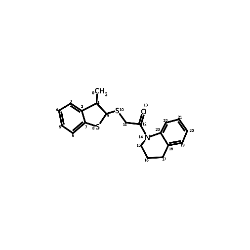 CC1c2ccccc2SC1SCC(=O)N1CCCc2ccccc21